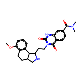 COc1cccc2c1CCC1CNC(CCn3c(=O)[nH]c4cc(C(=O)N(C)C)ccc4c3=O)C21